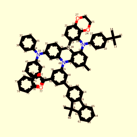 Cc1cc2c3c(c1)N(c1ccc(C(C)(C)C)cc1)c1c(ccc4c1OCCO4)B3c1ccc(N(c3ccccc3)c3ccccc3)cc1N2c1cc(-c2ccc3c(c2)C(C)(C)c2ccccc2-3)cc(-c2cc3ccccc3o2)c1